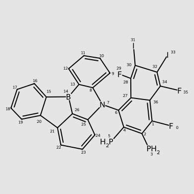 Fc1c(P)c(P)c(N2c3ccccc3B3c4ccccc4-c4cccc2c43)c2c(F)c(I)c(I)c(F)c12